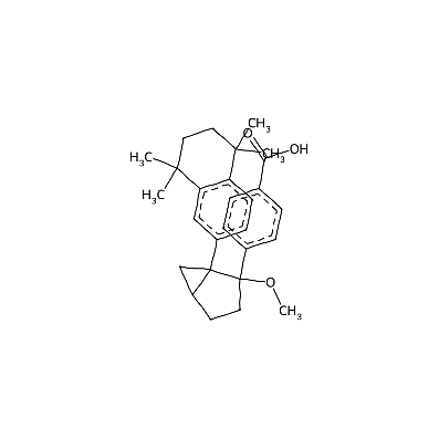 COC1(c2ccc(C(=O)O)cc2)CCC2CC21c1ccc2c(c1)C(C)(C)CCC2(C)C